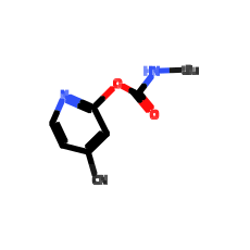 CC(C)(C)NC(=O)Oc1cc(C#N)ccn1